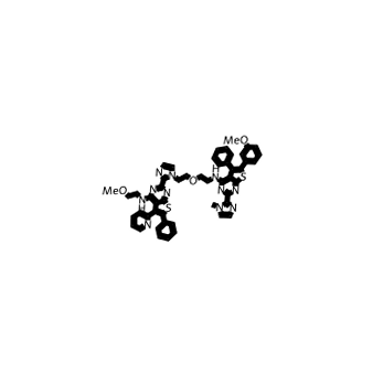 COCCNc1nc(-c2nccn2CCOCCNc2nc(-c3nccn3C)nc3sc(-c4cccc(OC)c4)c(-c4ccccc4)c23)nc2sc(-c3ccccc3)c(-c3ccccn3)c12